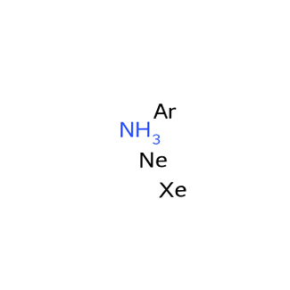 N.[Ar].[Ne].[Xe]